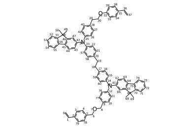 C=Cc1ccc(COCc2ccc(N(c3ccc(CCc4ccc(N(c5ccc(CCOc6ccc(C=C)cc6)cc5)c5ccc6c(c5)C(C)(C)c5ccccc5-6)cc4)cc3)c3ccc4c(c3)C(C)(C)c3ccccc3-4)cc2)cc1